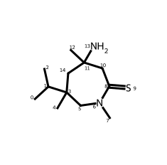 CC(C)C1(C)CN(C)C(=S)CC(C)(N)C1